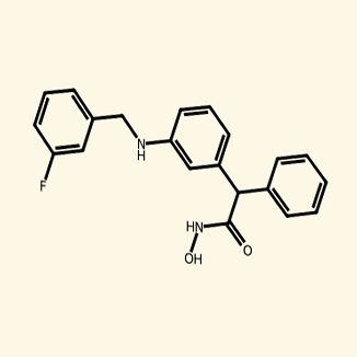 O=C(NO)C(c1ccccc1)c1cccc(NCc2cccc(F)c2)c1